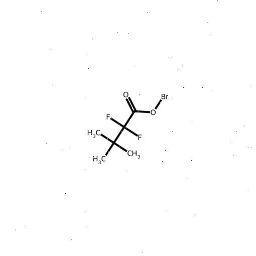 CC(C)(C)C(F)(F)C(=O)OBr